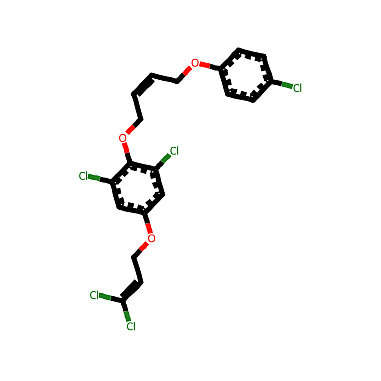 ClC(Cl)=CCOc1cc(Cl)c(OC/C=C\COc2ccc(Cl)cc2)c(Cl)c1